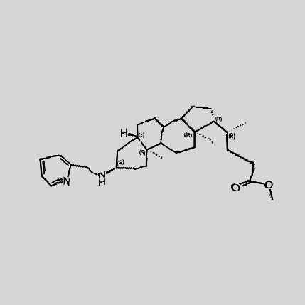 COC(=O)CC[C@@H](C)[C@H]1CCC2C3CC[C@H]4C[C@H](NCc5ccccn5)CC[C@]4(C)C3CC[C@@]21C